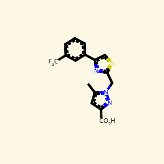 Cc1cc(C(=O)O)nn1Cc1nc(-c2cccc(C(F)(F)F)c2)cs1